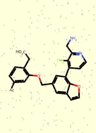 CC(=O)c1ccc(CC(=O)O)c(OCc2cc(-c3ccnc(CN)c3F)c3occc3c2)c1